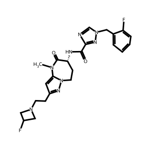 CN1C(=O)[C@H](NC(=O)c2ncn(Cc3ccccc3F)n2)CCn2nc(CCN3CC(F)C3)cc21